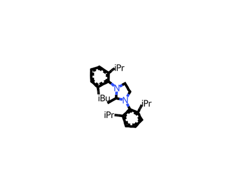 CCC(C)c1cccc(C(C)C)c1N1CCN(c2c(C(C)C)cccc2C(C)C)C1C